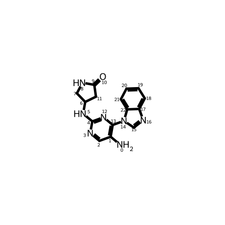 Nc1cnc(NC2CNC(=O)C2)nc1-n1cnc2ccccc21